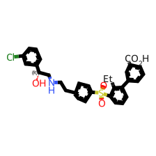 CCc1c(-c2cccc(C(=O)O)c2)cccc1S(=O)(=O)c1ccc(CCNC[C@H](O)c2cccc(Cl)c2)cc1